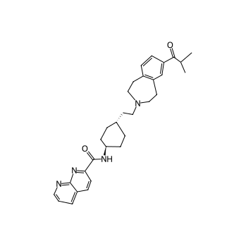 CC(C)C(=O)c1ccc2c(c1)CCN(CC[C@H]1CC[C@H](NC(=O)c3ccc4cccnc4n3)CC1)CC2